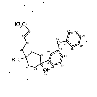 CC1(CC/C=C/C(=O)O)CCC(O)(c2cccc(Oc3ccccc3)c2)CC1